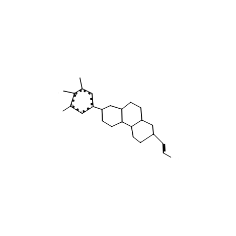 C/C=C/C1CCC2C(CCC3CC(c4cc(F)c(C(F)(F)F)c(F)c4)CCC32)C1